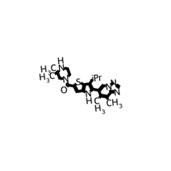 Cc1c(-c2[nH]c3cc(C(=O)N4CCNC(C)(C)C4)sc3c2C(C)C)cn2ncnc2c1C